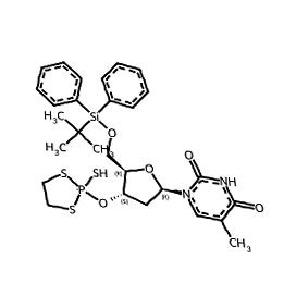 Cc1cn([C@H]2C[C@H](O[P]3(S)SCCS3)[C@@H](CO[Si](c3ccccc3)(c3ccccc3)C(C)(C)C)O2)c(=O)[nH]c1=O